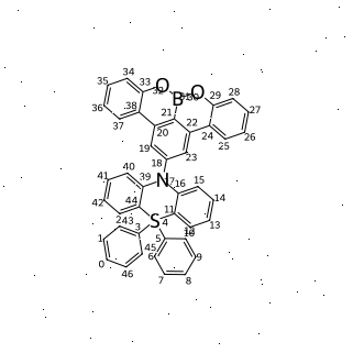 c1ccc(S2(c3ccccc3)c3ccccc3N(c3cc4c5c(c3)-c3ccccc3OB5Oc3ccccc3-4)c3ccccc32)cc1